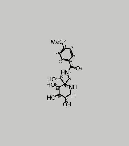 COc1ccc(C(=O)NCC2(CO)NCC(O)C(O)C2O)cc1